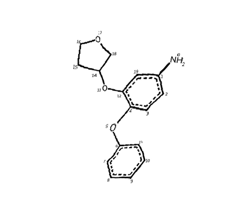 Nc1ccc(Oc2ccccc2)c(OC2CCOC2)c1